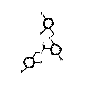 O=C(OCc1ccc(F)cc1F)c1cc(Br)ccc1OCc1ccc(F)cc1F